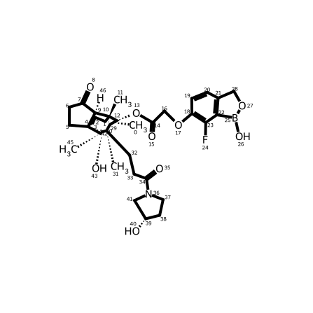 C[C@@H]1CC[C@@]23CCC(=O)[C@H]2[C@]1(C)[C@H](OC(=O)COc1ccc2c(c1F)B(O)OC2)C[C@@](C)(CCC(=O)N1CC[C@H](O)C1)[C@@H](O)[C@@H]3C